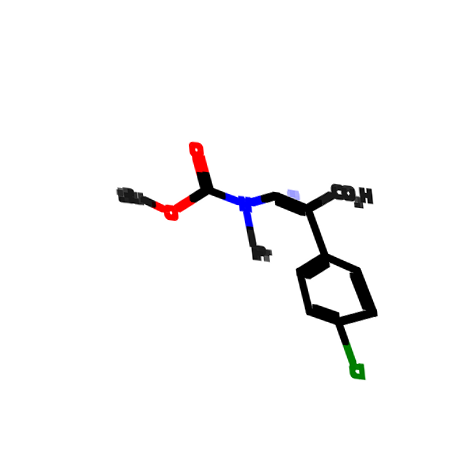 CC(C)N(/C=C(/C(=O)O)c1ccc(Cl)cc1)C(=O)OC(C)(C)C